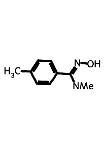 CN/C(=N\O)c1ccc(C)cc1